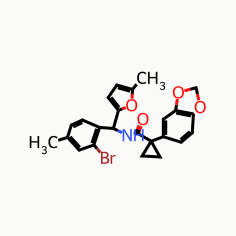 Cc1ccc(C(NC(=O)C2(c3ccc4c(c3)OCO4)CC2)c2ccc(C)o2)c(Br)c1